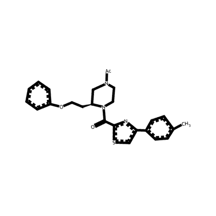 CC(=O)N1CCN(C(=O)c2nc(-c3ccc(C)cc3)cs2)[C@@H](CCOc2ccccc2)C1